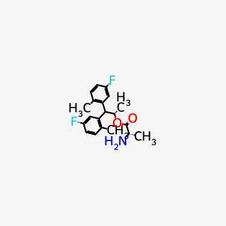 Cc1ccc(F)cc1C(c1cc(F)ccc1C)[C@H](C)OC(=O)[C@H](C)N